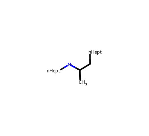 CCCCCCCCC(C)[N]CCCCCCC